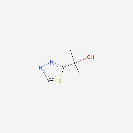 CC(C)(O)c1nn[c]s1